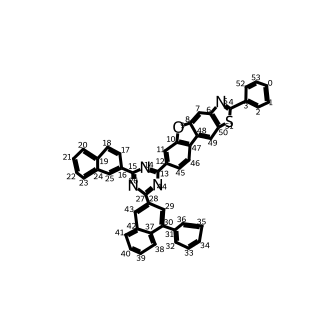 c1ccc(-c2nc3cc4oc5cc(-c6nc(-c7ccc8ccccc8c7)nc(-c7cc(-c8ccccc8)c8ccccc8c7)n6)ccc5c4cc3s2)cc1